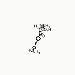 CC1(O)CC(C#Cc2ccc(N3C[C@H](C[C@](C)(C(=O)O)S(C)(=O)=O)OC3=O)cc2)C1